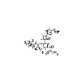 CN(C)C(=O)c1cc(Oc2ccc(S(C)(=O)=O)nc2)cc(-c2ccc(C3=NCC(CO)O3)[nH]2)c1